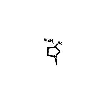 CN[C@@]1(C(C)=O)CCN(C)C1